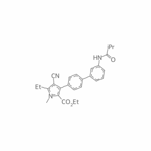 CCOC(=O)c1c(-c2ccc(-c3cccc(NC(=O)C(C)C)c3)cc2)c(C#N)c(CC)n1C